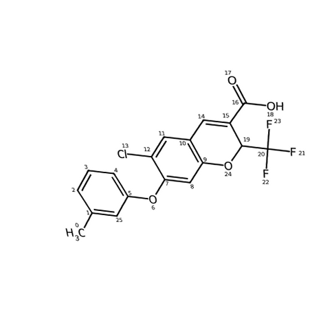 Cc1cccc(Oc2cc3c(cc2Cl)C=C(C(=O)O)C(C(F)(F)F)O3)c1